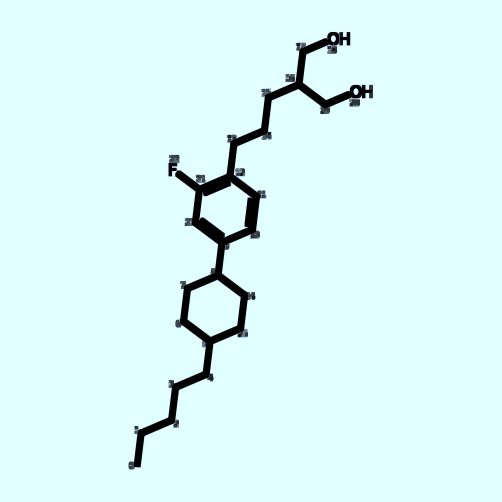 CCCCCC1CCC(c2ccc(CCCC(CO)CO)c(F)c2)CC1